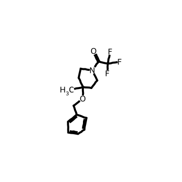 CC1(OCc2ccccc2)CCN(C(=O)C(F)(F)F)CC1